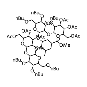 CCCCOCC1O[C@H](OC2C(C)CC(C(=O)OC)C[C@H]2O[C@H]2OC(COCCCC)[C@@H](OCCCC)C(OCCCC)C2O[C@H]2OC(COC(C)=O)[C@@H](OC(C)=O)C(OC(C)=O)C2OC(C)=O)C(O[C@H]2OC(COC(C)=O)[C@@H](OC(C)=O)C(OC(C)=O)C2OC(C)=O)C(OCCCC)[C@@H]1OCCCC